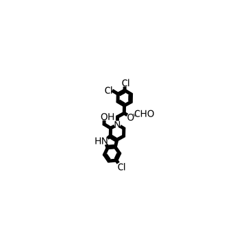 O=COC(CN1CCc2c([nH]c3ccc(Cl)cc23)C1CO)c1ccc(Cl)c(Cl)c1